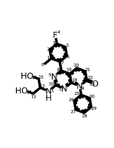 Cc1cc(F)ccc1-c1nc(NC(CO)CO)nc2c1ccc(=O)n2-c1ccccc1